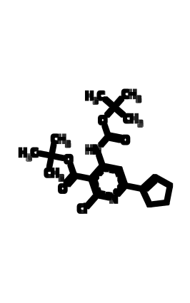 CC(C)(C)OC(=O)Nc1cc(C2=CCCC2)nc(Cl)c1C(=O)OC(C)(C)C